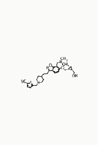 CN(C)Cc1c(OC[C@H]2C[C@H]2CO)ccc2c(CCC3CCN(Cc4ccc(C#N)s4)CC3)noc12